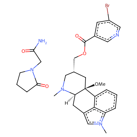 CO[C@]12C[C@@H](COC(=O)c3cncc(Br)c3)CN(C)[C@@H]1Cc1cn(C)c3cccc2c13.NC(=O)CN1CCCC1=O